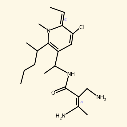 C/C=C1/C(Cl)=CC(C(C)NC(=O)/C(CN)=C(/C)N)=C(C(C)CCC)N1C